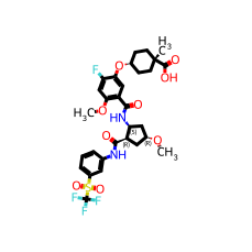 COc1cc(F)c(O[C@H]2CC[C@@](C)(C(=O)O)CC2)cc1C(=O)N[C@H]1C[C@H](OC)C[C@H]1C(=O)Nc1cccc(S(=O)(=O)C(F)(F)F)c1